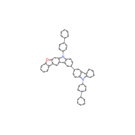 c1ccc(-c2ccc(-n3c4ccccc4c4cc(-c5ccc6c(c5)c5cc7c(cc5n6-c5ccc(-c6ccccc6)cc5)oc5ccccc57)ccc43)cc2)cc1